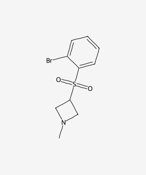 CN1CC(S(=O)(=O)c2ccccc2Br)C1